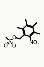 Cc1c(C)c(C)c([N+](=O)[O-])c(COS(C)(=O)=O)c1C